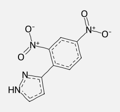 O=[N+]([O-])c1ccc(-c2cc[nH]n2)c([N+](=O)[O-])c1